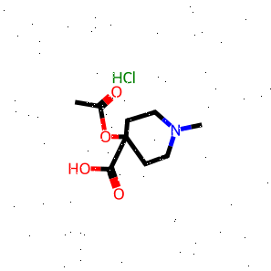 CC(=O)OC1(C(=O)O)CCN(C)CC1.Cl